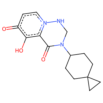 O=C1c2c(O)c(=O)ccn2NCN1C1CCC2(CC1)CC2